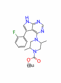 CC1CN(c2ncnc3[nH]cc(-c4ccccc4F)c23)C(C)CN1C(=O)OC(C)(C)C